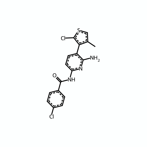 Cc1csc(Cl)c1-c1ccc(NC(=O)c2ccc(Cl)cc2)nc1N